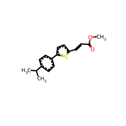 COC(=O)/C=C/c1ccc(-c2ccc(C(C)C)cc2)s1